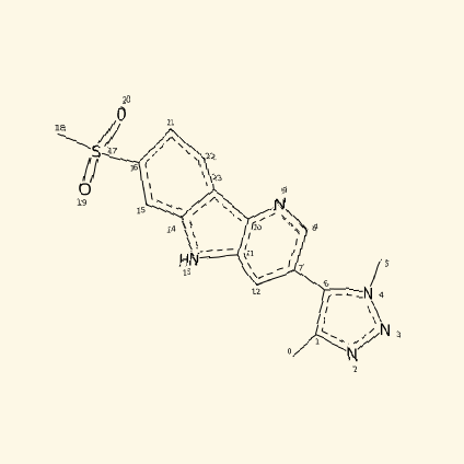 Cc1nnn(C)c1-c1cnc2c(c1)[nH]c1cc(S(C)(=O)=O)ccc12